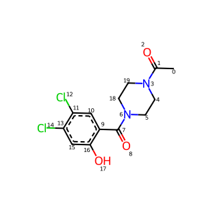 CC(=O)N1CCN(C(=O)c2cc(Cl)c(Cl)cc2O)CC1